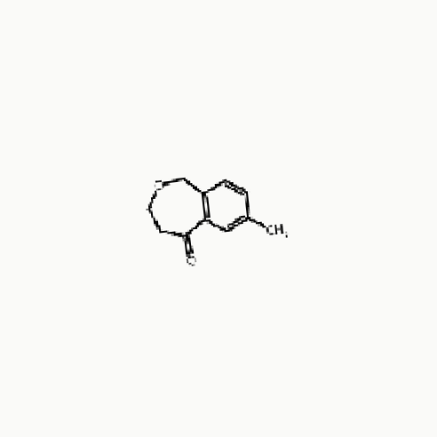 Cc1ccc2c(c1)C(=O)CCOC2